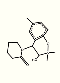 Cc1ccc2c(c1)C(N1CCCCC1=O)C(O)S(C)(C)O2